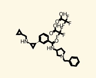 O=C(NC1CCN(Cc2ccccc2)C1)c1cccc([C@@H]2C[C@H]2NCC2CC2)c1.O=C(O)C(F)(F)F.O=C(O)C(F)(F)F